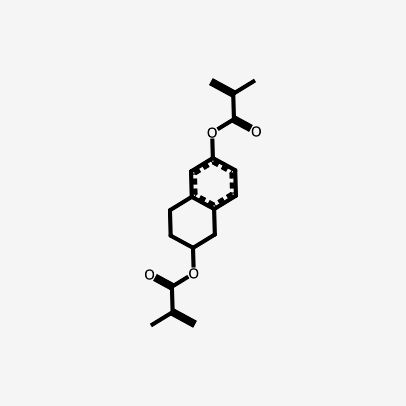 C=C(C)C(=O)Oc1ccc2c(c1)CCC(OC(=O)C(=C)C)C2